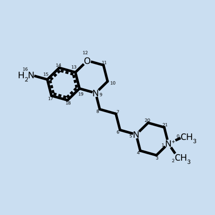 C[N+]1(C)CCN(CCCN2CCOc3cc(N)ccc32)CC1